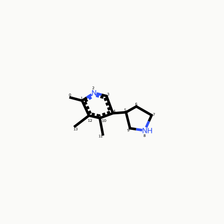 Cc1ncc(C2CCNC2)c(C)c1C